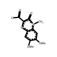 COc1cc2nc(C(=O)Cl)c(=O)n(C)c2cc1OC